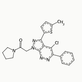 Cc1ccc(-c2nn(CC(=O)N3CCCC3)c3nnc(-c4ccccc4)c(Cl)c23)s1